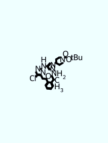 CC(C(N)=O)c1ccccc1CCc1nc(Nc2cnn(C3CCN(C(=O)OC(C)(C)C)CC3)c2)ncc1Cl